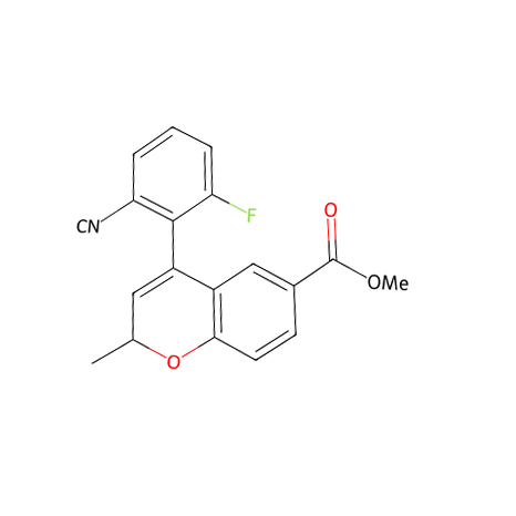 [C-]#[N+]c1cccc(F)c1C1=CC(C)Oc2ccc(C(=O)OC)cc21